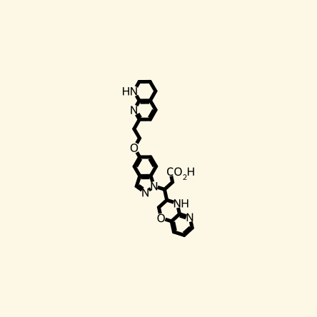 O=C(O)CC(C1COc2cccnc2N1)n1ncc2cc(OCCc3ccc4c(n3)NCCC4)ccc21